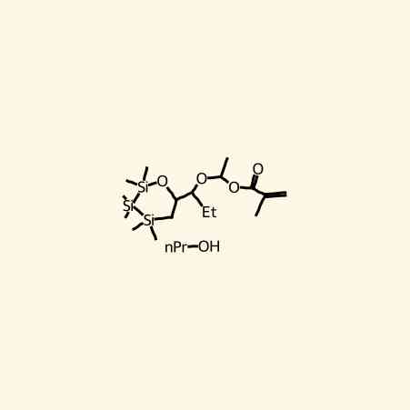 C=C(C)C(=O)OC(C)OC(CC)C1C[Si](C)(C)[Si](C)(C)[Si](C)(C)O1.CCCO